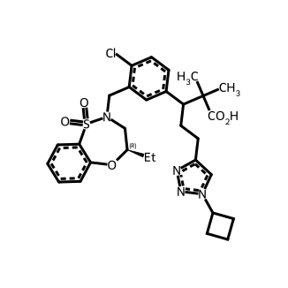 CC[C@@H]1CN(Cc2cc(C(CCc3cn(C4CCC4)nn3)C(C)(C)C(=O)O)ccc2Cl)S(=O)(=O)c2ccccc2O1